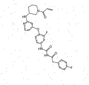 C=CC(=O)N1CCCC(Nc2cc(Oc3ccc(NC(=O)NC(=O)Cc4ccc(F)cc4)cc3F)ccn2)C1